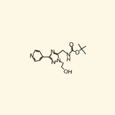 CC(C)(C)OC(=O)NCc1nc(-c2ccncc2)nn1CCO